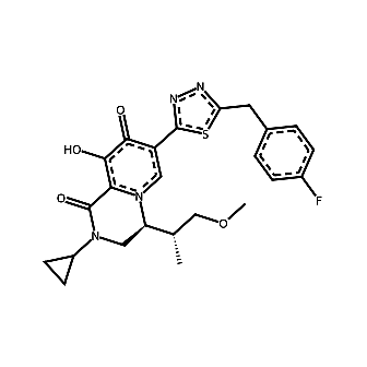 COC[C@H](C)[C@H]1CN(C2CC2)C(=O)c2c(O)c(=O)c(-c3nnc(Cc4ccc(F)cc4)s3)cn21